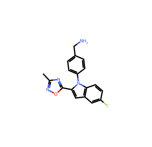 Cc1noc(-c2cc3cc(F)ccc3n2-c2ccc(CN)cc2)n1